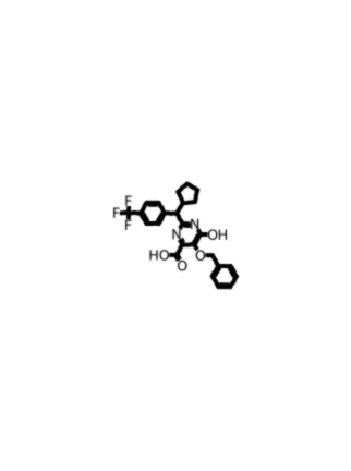 O=C(O)c1nc(C(c2ccc(C(F)(F)F)cc2)C2CCCC2)nc(O)c1OCc1ccccc1